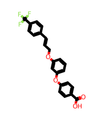 O=C(O)c1ccc(Oc2cccc(OCC=Cc3ccc(C(F)(F)F)cc3)c2)cc1